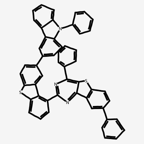 c1ccc(-c2ccc3sc4c(-c5ccccc5)nc(-c5cccc6sc7ccc(-c8ccc9c(c8)c8ccccc8n9-c8ccccc8)cc7c56)nc4c3c2)cc1